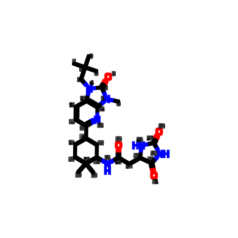 Cn1c(=O)n(CC(C)(C)C)c2ccc(C3CCC(C)(C)C(NC(=O)CC4NC(=O)NC4=O)C3)nc21